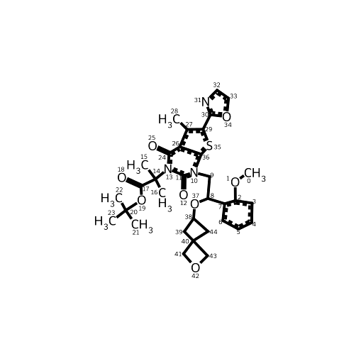 COc1ccccc1C(Cn1c(=O)n(C(C)(C)C(=O)OC(C)(C)C)c(=O)c2c(C)c(-c3ncco3)sc21)OC1CC2(COC2)C1